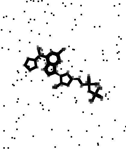 CN(c1nc(Cl)nn2c([C@@H]3O[C@H](COP(=O)(O)CP(=O)(O)O)C[C@H]3O)cnc12)C1CCCC1